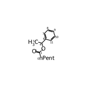 CCCCCC(=O)OC(C)c1ccccc1